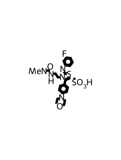 CNC(=O)NCCn1c(-c2ccc(N3CCOCC3)cc2)cs/c1=N\c1cccc(F)c1.CS(=O)(=O)O